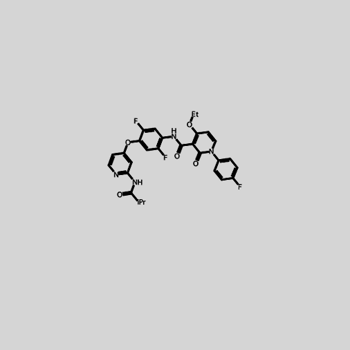 CCOc1ccn(-c2ccc(F)cc2)c(=O)c1C(=O)Nc1cc(F)c(Oc2ccnc(NC(=O)C(C)C)c2)cc1F